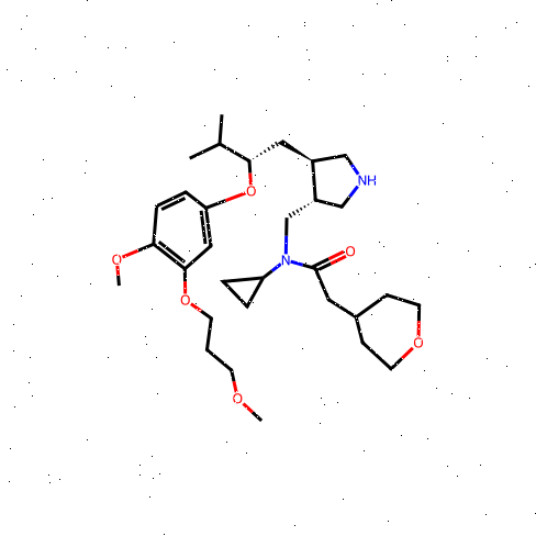 COCCCOc1cc(O[C@@H](C[C@H]2CNC[C@@H]2CN(C(=O)CC2CCOCC2)C2CC2)C(C)C)ccc1OC